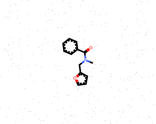 CN(Cc1ccco1)C(=O)c1ccccc1